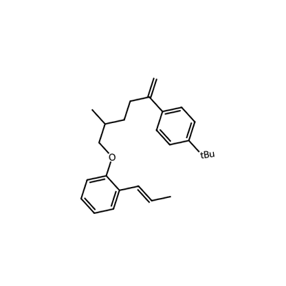 C=C(CCC(C)COc1ccccc1/C=C/C)c1ccc(C(C)(C)C)cc1